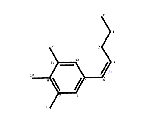 CCC/C=[C]\c1cc(C)c(C)c(C)c1